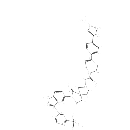 Cn1cc(-c2ccc(C3=CCN(C(=O)CN4CC[C@]5(CCN(c6ccc7[nH]nc(-c8ccnc(C(F)(F)F)c8)c7c6)C5=O)C4)CC3)cc2)nn1